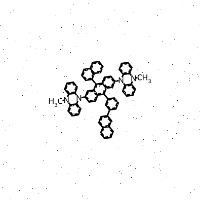 CN1c2ccccc2N(c2ccc3c(-c4cccc5ccccc45)c4cc(N5c6ccccc6N(C)c6ccccc65)ccc4c(-c4cccc(-c5ccc6ccccc6c5)c4)c3c2)c2ccccc21